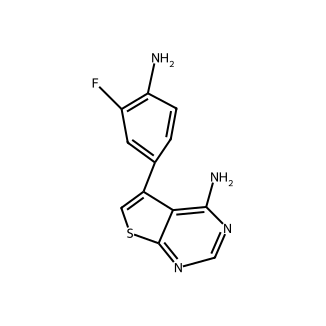 Nc1ccc(-c2csc3ncnc(N)c23)cc1F